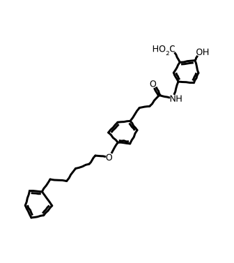 O=C(CCc1ccc(OCCCCCc2ccccc2)cc1)Nc1ccc(O)c(C(=O)O)c1